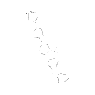 CC1(C)c2cc(-c3ccc(-c4cccnc4)cc3)ccc2-c2cc3oc4ccccc4c3cc21